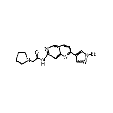 CCn1cc(-c2ccc3cnc(NC(=O)CN4CCCC4)cc3n2)cn1